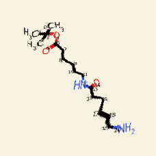 CC(C)(C)OC(=O)CCCCCNC(=O)CCCCCN